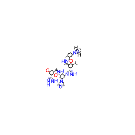 CN/C=C(\C=N)c1cc(OC)cc([C@@H](C)NC(=O)c2cc(N3C[C@@H](C)N(C)[C@@H](C)C3)cc(/N=C/C(=C\NC)c3cc(C(C)C)cc([C@@H](C)NC(=O)c4cc(N5C[C@H]6CC[C@@H](C5)N6C)ccc4C)c3)c2C)c1